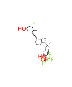 C=C1/C(=C\C=C2/CCC[C@@]3(C)C2CC[C@@H]3[C@@](C)(CC#CC(O)(C(F)(F)F)C(F)(F)F)CCCC(C)(C)O)C[C@@H](O)C[C@@H]1F